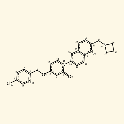 O=c1cc(OCc2ccc(Cl)cn2)ccn1-c1ccc2nc(CN3CCC3)ccc2c1